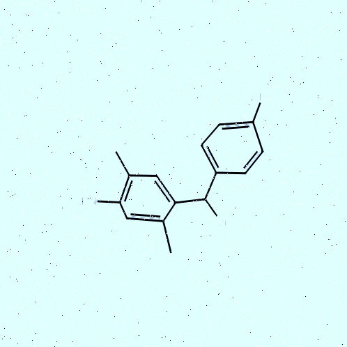 Cc1cc(C(Br)c2ccc(Br)cc2)c(C)cc1N